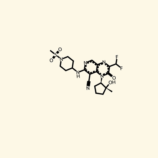 C[C@@]1(O)CCC[C@H]1n1c(=O)c(C(F)F)nc2cnc(NC3CCN(S(C)(=O)=O)CC3)c(C#N)c21